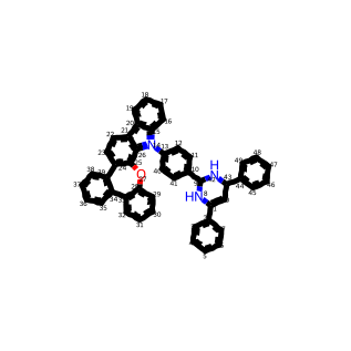 C1=C(c2ccccc2)NC(c2ccc(-n3c4ccccc4c4ccc5c(c43)Oc3ccccc3-c3ccccc3-5)cc2)NC1c1ccccc1